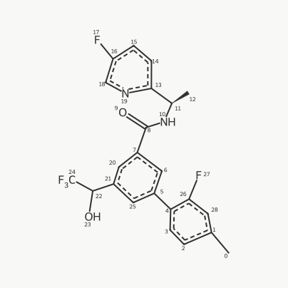 Cc1ccc(-c2cc(C(=O)N[C@H](C)c3ccc(F)cn3)cc(C(O)C(F)(F)F)c2)c(F)c1